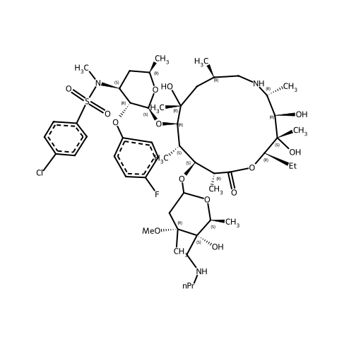 CCCNC[C@]1(O)[C@H](C)OC(O[C@H]2[C@H](C)[C@@H](O[C@@H]3O[C@H](C)C[C@H](N(C)S(=O)(=O)c4ccc(Cl)cc4)[C@H]3Oc3ccc(F)cc3)[C@](C)(O)C[C@@H](C)CN[C@H](C)[C@@H](O)[C@](C)(O)[C@@H](CC)OC(=O)[C@@H]2C)C[C@@]1(C)OC